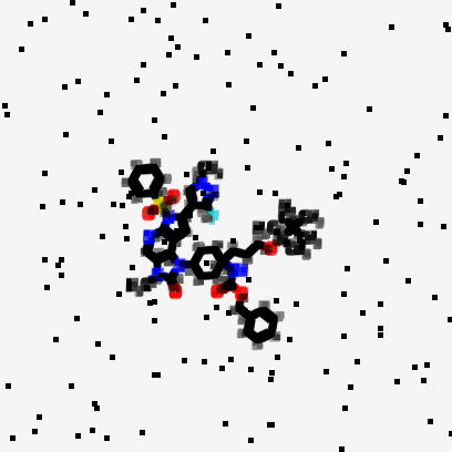 Cn1cc(-c2cc3c(ncc4c3n(C3CCC(CCCO[Si](C)(C)C(C)(C)C)(NC(=O)OCc5ccccc5)CC3)c(=O)n4C)n2S(=O)(=O)c2ccccc2)c(F)n1